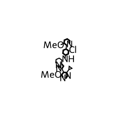 COc1cccnc1-c1ccc(N[C@H]2CCCn3nc(-c4c(OC)ncnc4C4CC4)cc32)cc1Cl